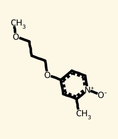 COCCCOc1cc[n+]([O-])c(C)c1